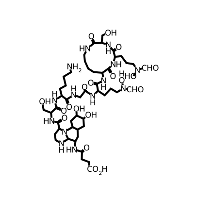 NCCCCC(NC(=O)C(CO)NC(=O)C1CCNC2C(NC(=O)CCC(=O)O)CC3CC(O)C(O)CC3N12)C(=O)NCC(=O)NC(CCCN(O)C=O)C(=O)NC1CCCCNC(=O)C(CO)NC(=O)C(CCCN(O)C=O)NC1=O